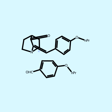 CCCOc1ccc(/C=C2\C(=O)C3CCN2CC3)cc1.CCCOc1ccc(C=O)cc1